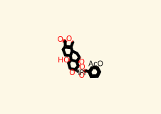 CC(=O)Oc1ccccc1C(=O)OC1C2(C(C)C)OC2CC2(O)C3CCC4=C(COC4=O)C3CC3OC312